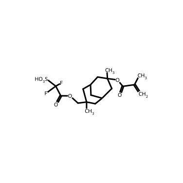 C=C(C)C(=O)OC1(C)CC2CC(CC(C)(COC(=O)C(F)(F)S(=O)(=O)O)C2)C1